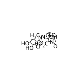 CN(/N=C/[C@@]1(C)[C@H](C(=O)O)N2C(=O)C[C@H]2S1(=O)=O)C(=O)c1ccc(O)c(O)c1Cl